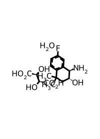 CC1(C)C[C@@H](O)[C@H](N)c2cc(F)ccc21.O.O=C(O)[C@@H](O)[C@H](O)C(=O)O